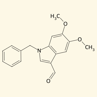 COc1cc2c(C=O)cn(Cc3ccccc3)c2cc1OC